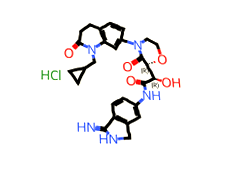 Cl.N=C1NCc2cc(NC(=O)[C@H](O)[C@H]3OCCN(c4ccc5c(c4)N(CC4CC4)C(=O)CC5)C3=O)ccc21